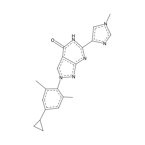 Cc1cc(C2CC2)cc(C)c1-n1cc2c(=O)[nH]c(-c3cn(C)cn3)nc2n1